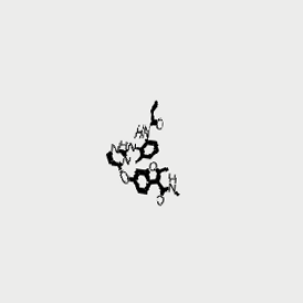 C=CC(=O)Nc1cccc(C)c1Nc1nccc(Oc2ccc3c(C(=O)NC)c(C)oc3c2)n1